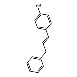 Oc1ccc(C=CCc2ccccc2)cc1